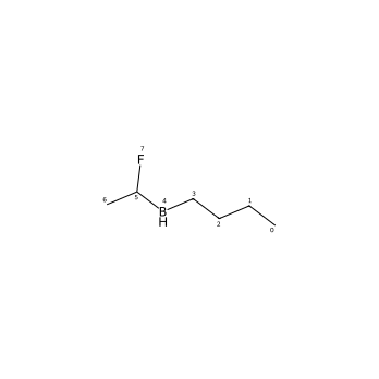 CCCCBC(C)F